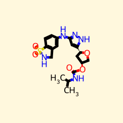 CC(C)NC(=O)O[C@@H]1CO[C@@H](c2cc(Nc3ccc4c(c3)CNS4(=O)=O)n[nH]2)C1